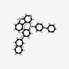 c1ccc(-c2ccc(N(c3ccc(-c4ccc5ccccc5c4)cc3)c3cncc4sc5ccccc5c34)cc2)cc1